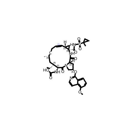 CC[C@@H]1C[C@H](C)CC/C=C\[C@@H]2C[C@@]2(C(=O)NS(=O)(=O)C2(C)CC2)NC(=O)[C@@H]2C[C@@H](Oc3nccc4c(OC)cccc34)CN2C(=O)[C@H]1NC(=O)O